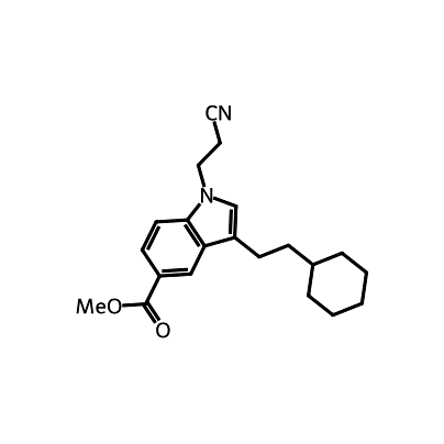 COC(=O)c1ccc2c(c1)c(CCC1CCCCC1)cn2CCC#N